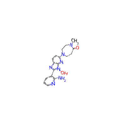 CN1CCN(c2ccc3nc(-c4cccnc4N)n(O)c3n2)CCC1=O